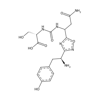 NC(=O)CC(NC(=O)N[C@@H](CO)C(=O)O)c1nc([C@@H](N)Cc2ccc(O)cc2)no1